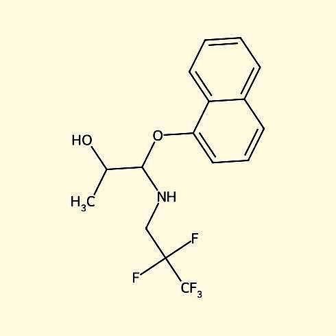 CC(O)C(NCC(F)(F)C(F)(F)F)Oc1cccc2ccccc12